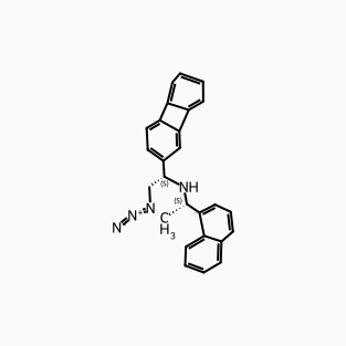 C[C@H](N[C@H](CN=[N+]=[N-])c1ccc2c(c1)-c1ccccc1-2)c1cccc2ccccc12